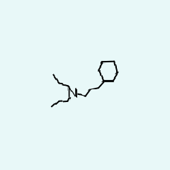 CCCN(CCC)CCCC1CCCCC1